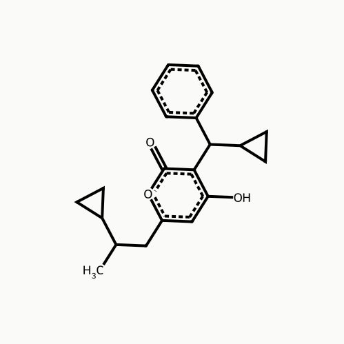 CC(Cc1cc(O)c(C(c2ccccc2)C2CC2)c(=O)o1)C1CC1